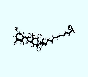 CC(=O)CCCCCCCCCC(C)(C)N1C(=O)CC(C[C@@H](O)C2C[C@@H](C)CC(C)C2=O)CC1=O